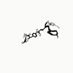 Cn1ncc(C=CC(=O)Nc2ccc(CC3OC(=O)NC3=O)cc2)c1-c1ccc(F)cc1